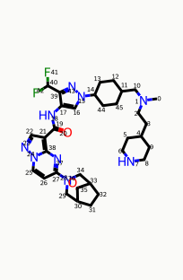 CN(CCC1CCNCC1)CC1CCC(n2cc(NC(=O)c3cnn4ccc(N5CC6CCC(C5)C6=O)nc34)c(C(F)F)n2)CC1